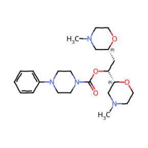 CN1CCO[C@H](CC(OC(=O)N2CCN(c3ccccc3)CC2)[C@H]2CN(C)CCO2)C1